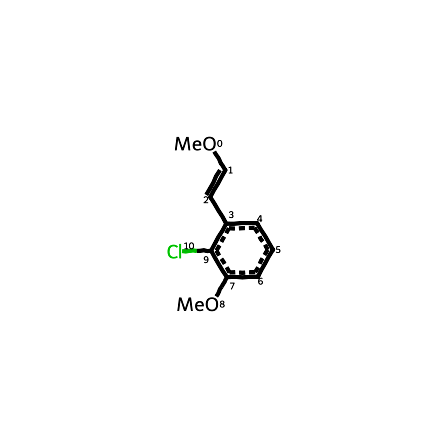 COC=Cc1cccc(OC)c1Cl